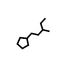 CCC(C)CC[C]1CCCC1